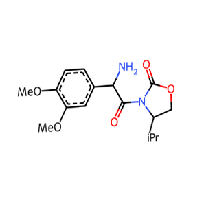 COc1ccc(C(N)C(=O)N2C(=O)OCC2C(C)C)cc1OC